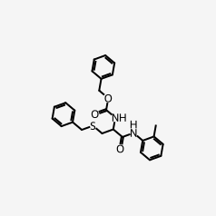 Cc1ccccc1NC(=O)C(CSCc1ccccc1)NC(=O)OCc1ccccc1